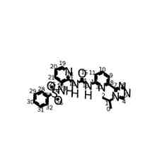 CC(C)n1cnnc1-c1cccc(NC(=O)Nc2ncccc2NS(=O)(=O)c2ccccc2)n1